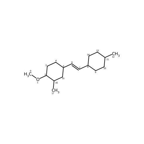 COC1CCC(C=CC2CCC(C)CC2)CC1C